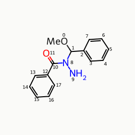 COC(c1ccccc1)N(N)C(=O)c1ccccc1